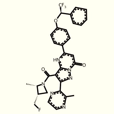 Cc1nccnc1-c1nn2c(=O)cc(-c3ccc(O[C@H](c4ccccc4)C(F)(F)F)cc3)[nH]c2c1C(=O)N1C[C@H](CF)[C@@H]1C